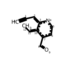 C#C/C=c1/nccc(C=O)/c1=C/C